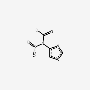 O=C(O)N(c1cscn1)[SH](=O)=O